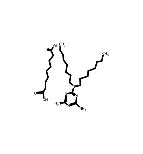 CCCCCCCCN(CCCCCCCC)c1nc(N)nc(N)n1.O=C(O)CCCCCCCC(=O)O